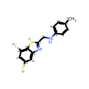 Cc1ccc(NCc2nc3cc(F)cc(F)c3s2)cc1